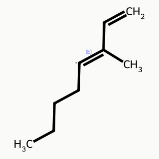 C=C/C(C)=[C]/CCCC